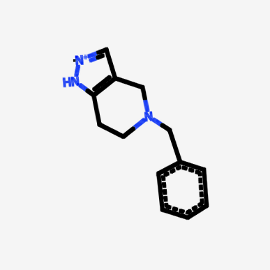 C1=[N+]NC2=C1CN(Cc1ccccc1)CC2